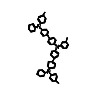 Cc1ccc(N(c2ccccc2)c2ccc(-c3ccc(N(c4ccc(-c5ccc(N(c6ccccc6)c6ccc(C)cc6)cc5)cc4)c4cccc(C)c4)cc3)cc2)cc1